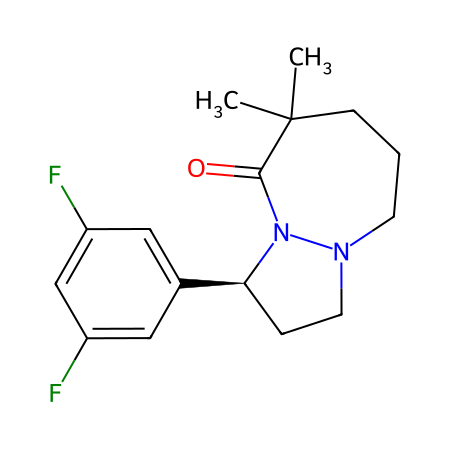 CC1(C)CCCN2CC[C@@H](c3cc(F)cc(F)c3)N2C1=O